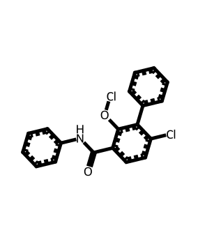 O=C(Nc1ccccc1)c1ccc(Cl)c(-c2ccccc2)c1OCl